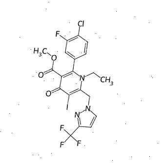 CCn1c(Cn2ccc(C(F)(F)F)n2)c(I)c(=O)c(C(=O)OC)c1-c1ccc(Cl)c(F)c1